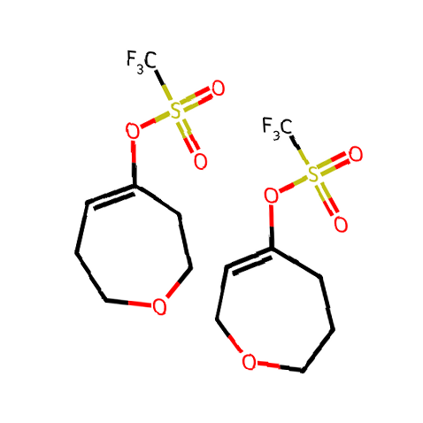 O=S(=O)(OC1=CCCOCC1)C(F)(F)F.O=S(=O)(OC1=CCOCCC1)C(F)(F)F